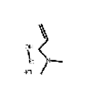 C=CCN(C)C.CCO.Cl